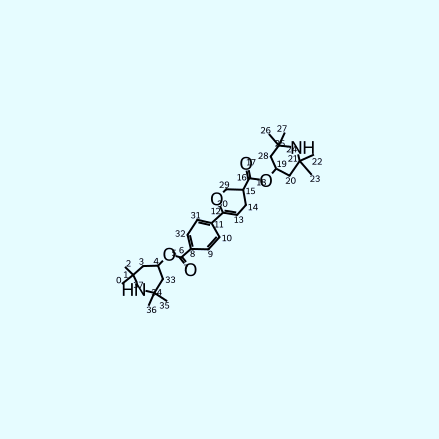 CC1(C)CC(OC(=O)c2ccc(C3=CCC(C(=O)OC4CC(C)(C)NC(C)(C)C4)CO3)cc2)CC(C)(C)N1